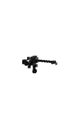 CCCCCCCCCCCCOC[C@@]12O[C@@H](CNCCN3CCCCC3)[C@@H](OC(=O)Nc3ccc(OC)cc3)[C@@H]1OC(C)(C)O2